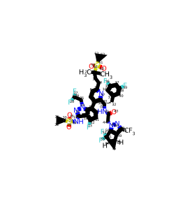 CC(C)(CCc1ccc(-c2ccc(F)c3c(NS(=O)(=O)C4CC4)nn(CC(F)F)c23)c([C@H](Cc2cc(F)cc(F)c2)NC(=O)Cn2nc(C(F)(F)F)c3c2C(F)(F)[C@@H]2C[C@H]32)n1)S(=O)(=O)C1CC1